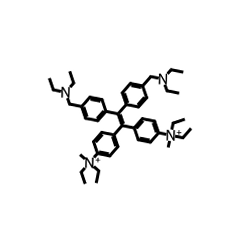 CCN(CC)Cc1ccc(C(=C(c2ccc([N+](C)(CC)CC)cc2)c2ccc([N+](C)(CC)CC)cc2)c2ccc(CN(CC)CC)cc2)cc1